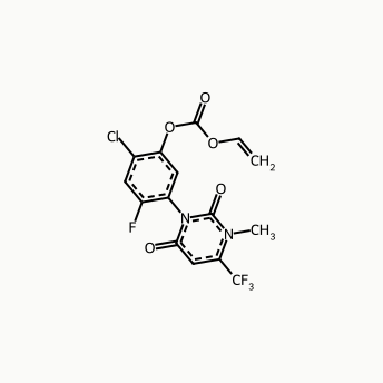 C=COC(=O)Oc1cc(-n2c(=O)cc(C(F)(F)F)n(C)c2=O)c(F)cc1Cl